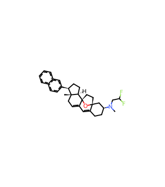 CN(CC(F)F)[C@H]1CCC2=CC3=CC[C@]4(C)[C@@H](c5ccc6ccccc6c5)CC[C@H]4[C@@]34CC[C@]2(C1)O4